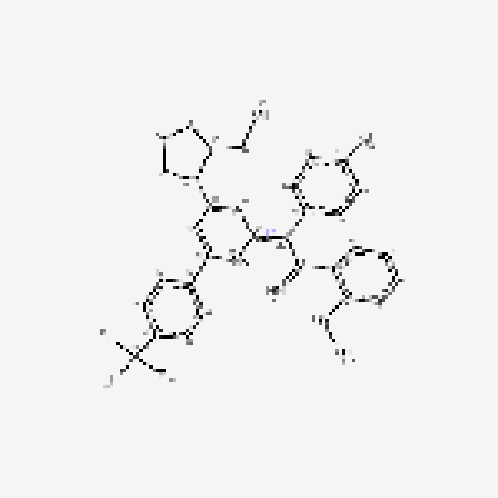 COc1ccccc1C(=N)/C(=C1/N=C(N2CCCC2CO)C=C(c2ccc(C(F)(F)F)cc2)N1)c1ccc(Cl)cc1